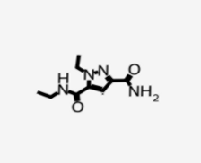 CCNC(=O)c1[c]c(C(N)=O)nn1CC